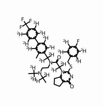 [2H]c1c([2H])c(CSc2nc(=O)c3c(n2C([2H])([2H])C(=O)N(CCN(C([2H])([2H])C)C([2H])([2H])C)C([2H])([2H])c2c([2H])c([2H])c(-c4c([2H])c([2H])c(C(F)(F)F)c([2H])c4[2H])c([2H])c2C)CCC3)c([2H])c([2H])c1F